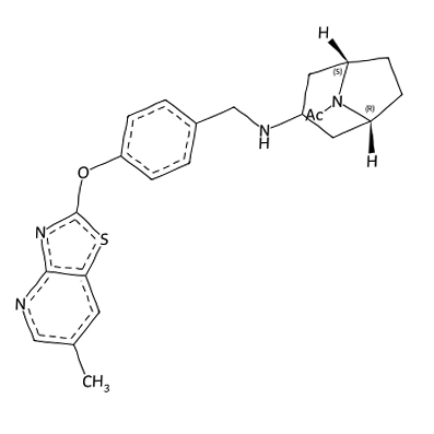 CC(=O)N1[C@@H]2CC[C@H]1CC(NCc1ccc(Oc3nc4ncc(C)cc4s3)cc1)C2